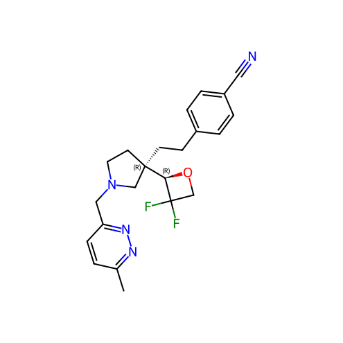 Cc1ccc(CN2CC[C@@](CCc3ccc(C#N)cc3)([C@H]3OCC3(F)F)C2)nn1